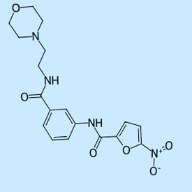 O=C(NCCN1CCOCC1)c1cccc(NC(=O)c2ccc([N+](=O)[O-])o2)c1